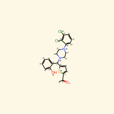 CC(=O)c1ccc(C(c2ccccc2O)N2CCN(c3cccc(Cl)c3Cl)CC2)s1